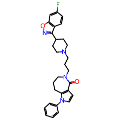 O=C1c2ccn(-c3ccccc3)c2CCCN1CCCN1CCC(c2noc3cc(F)ccc23)CC1